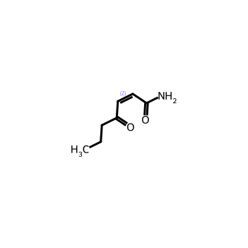 CCCC(=O)/C=C\C(N)=O